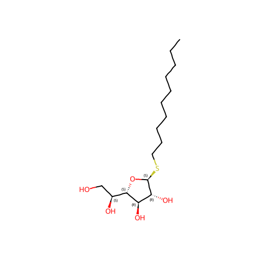 CCCCCCCCCCS[C@@H]1O[C@@H]([C@@H](O)CO)[C@H](O)[C@H]1O